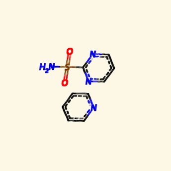 NS(=O)(=O)c1ncccn1.c1ccncc1